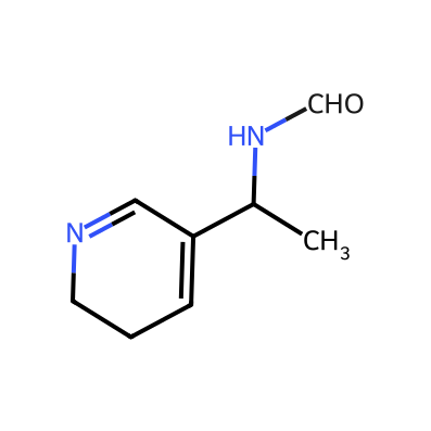 CC(NC=O)C1=CCCN=C1